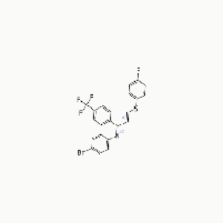 Fc1ccc(S/C=C/C(=N/c2ccc(Br)cc2)c2ccc(C(F)(F)F)cc2)cc1